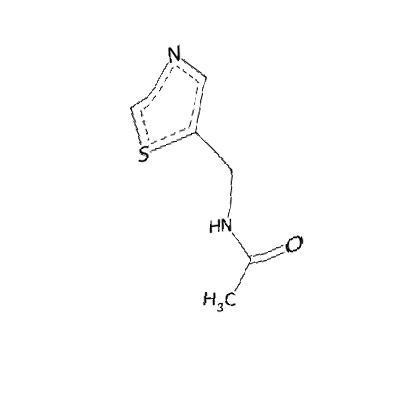 CC(=O)NCc1cncs1